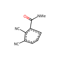 CNC(=O)c1cccc(C#N)c1C#N